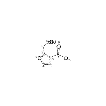 CC(C)(C)Cc1occc1C([O])=O